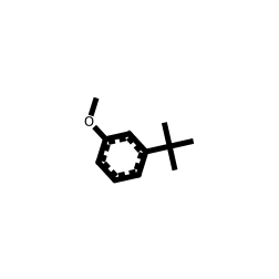 COc1[c]c(C(C)(C)C)ccc1